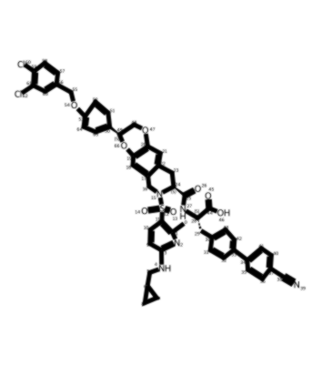 Cc1nc(NCC2CC2)ccc1S(=O)(=O)N1Cc2cc3c(cc2C[C@H]1C(=O)N[C@@H](Cc1ccc(-c2ccc(C#N)cc2)cc1)C(=O)O)OC[C@H](c1ccc(OCc2ccc(Cl)c(Cl)c2)cc1)O3